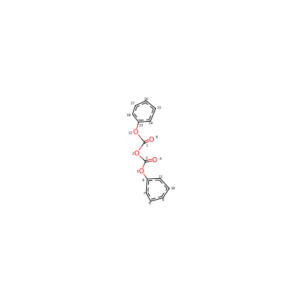 O=C(OC(=O)Oc1ccccc1)Oc1ccccc1